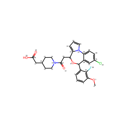 COc1cccc(C2OC(CC(=O)N3CCC(CC(=O)O)CC3)c3cccn3-c3ccc(Cl)cc32)c1F